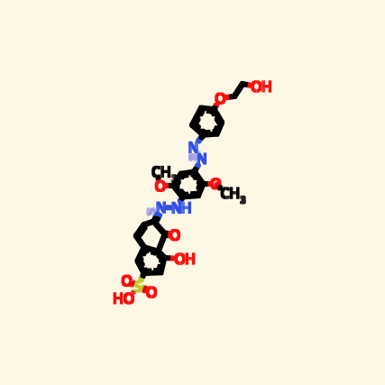 COc1cc(N/N=C2/C=Cc3cc(S(=O)(=O)O)cc(O)c3C2=O)c(OC)cc1/N=N/c1ccc(OCCO)cc1